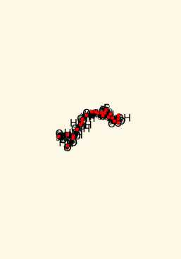 CC[C@@]1(O)C(=O)OCc2c1cc1n(c2=O)Cc2c-1nc1cc(F)c(OC)cc1c2CN1CCC([N+](C)(C)Cc2ccc(NC(=O)[C@H](C)NC(=O)CNC(=O)CNC(=O)CNC(=O)[C@H](CCC(=O)NCCOC)NC(=O)CCCN3C(=O)C=CC3=O)cc2)CC1